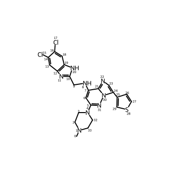 CN1CCN(c2cc(NCc3nc4cc(Cl)c(Cl)cc4[nH]3)c3ncc(-c4ccsc4)n3n2)CC1